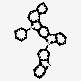 c1ccc(-n2c3cc4c(cc3c3c5ccccc5ccc32)c2ccccc2n4-c2ccc3c(c2)sc2ccccc23)cc1